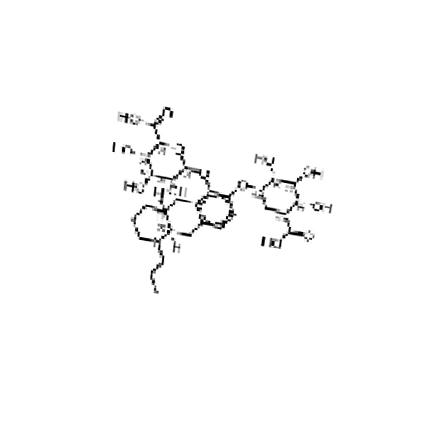 CCCN1CCC[C@@H]2Cc3c(ccc(O[C@@H]4C[C@H](C(=O)O)[C@@H](O)[C@H](O)[C@H]4O)c3O[C@@H]3O[C@H](C(=O)O)[C@@H](O)[C@H](O)[C@H]3O)C[C@H]21